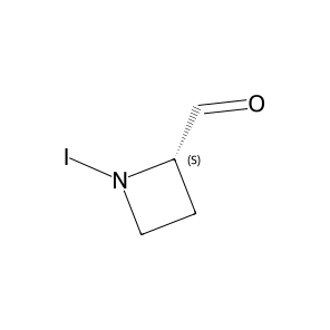 O=C[C@@H]1CCN1I